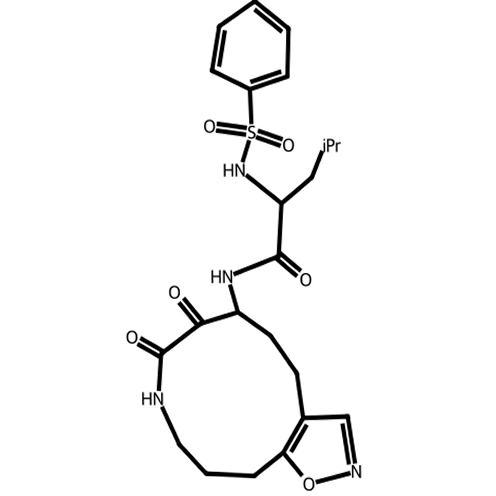 CC(C)CC(NS(=O)(=O)c1ccccc1)C(=O)NC1CCc2cnoc2CCCNC(=O)C1=O